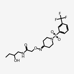 CCC(O)CNC(=O)CON=C1CCN(S(=O)(=O)c2cccc(C(F)(F)F)c2)CC1